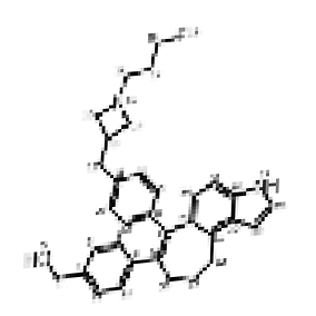 OCc1ccc(C2=C(c3ccc(CC4CN(CCCF)C4)cc3)c3ccc4[nH]ccc4c3CCC2)cc1